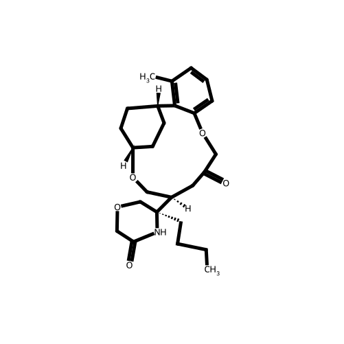 CCCC[C@@]1([C@H]2CO[C@H]3CC[C@H](CC3)c3c(C)cccc3OCC(=O)C2)COCC(=O)N1